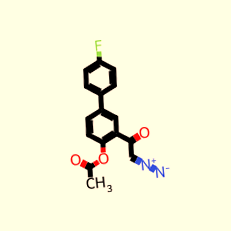 CC(=O)Oc1ccc(-c2ccc(F)cc2)cc1C(=O)C=[N+]=[N-]